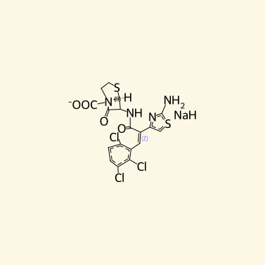 Nc1nc(/C(=C/c2c(Cl)ccc(Cl)c2Cl)C(=O)NC2C(=O)[N+]3(C(=O)[O-])CCS[C@@H]23)cs1.[NaH]